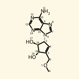 COCC1=C[C@@H](n2cnc3c(N)ncnc32)[C@H](O)[C@@H]1O